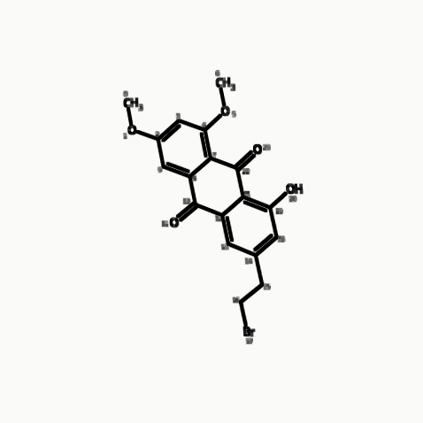 COc1cc(OC)c2c(c1)C(=O)c1cc(CCBr)cc(O)c1C2=O